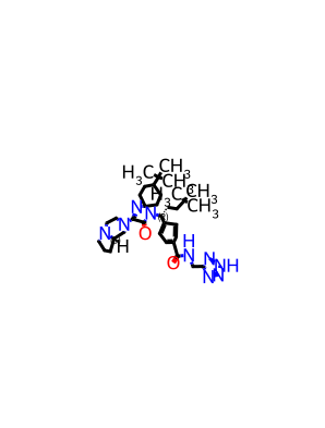 CC(C)(C)CC[C@H](c1ccc(C(=O)NCc2nn[nH]n2)cc1)N1C(=O)C(N2CCN3CCC[C@H]3C2)=NC12CCC(C(C)(C)C)CC2